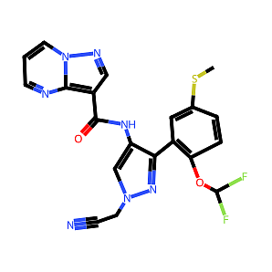 CSc1ccc(OC(F)F)c(-c2nn(CC#N)cc2NC(=O)c2cnn3cccnc23)c1